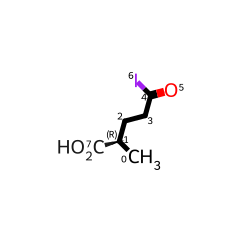 C[C@H](CCC(=O)I)C(=O)O